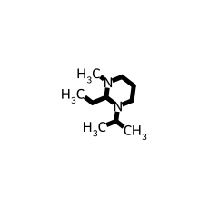 CCC1N(C)CCCN1C(C)C